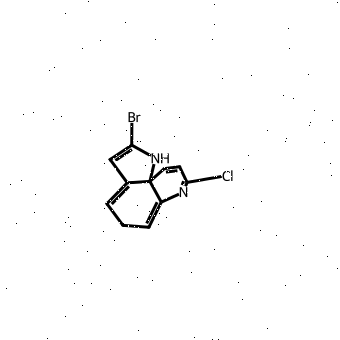 ClC1=NC2=CCC=C3C=C(Br)NC32C=C1